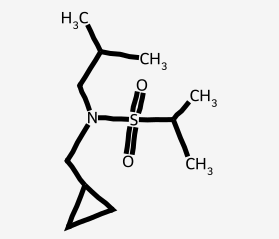 CC(C)CN(CC1CC1)S(=O)(=O)C(C)C